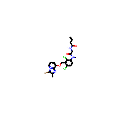 C=CCC(=O)NCC(=O)N(C)c1ccc(Cl)c(COc2cccn3c(Br)c(C)nc23)c1Cl